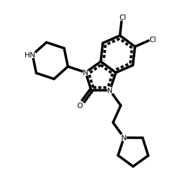 O=c1n(CCN2CCCC2)c2cc(Cl)c(Cl)cc2n1C1CCNCC1